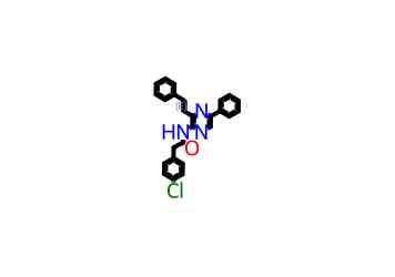 O=C(Cc1ccc(Cl)cc1)Nc1ncc(-c2ccccc2)nc1/C=C/c1ccccc1